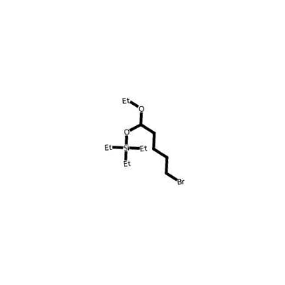 CCOC(CCCCBr)O[Si](CC)(CC)CC